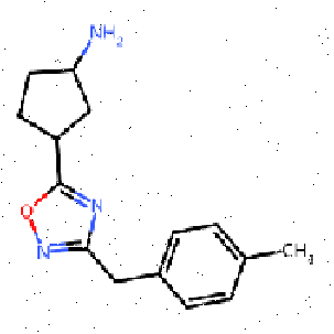 Cc1ccc(Cc2noc(C3CCC(N)C3)n2)cc1